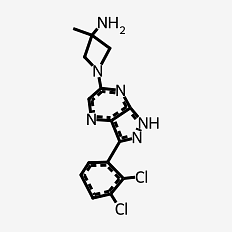 CC1(N)CN(c2cnc3c(-c4cccc(Cl)c4Cl)n[nH]c3n2)C1